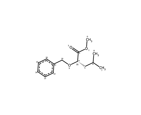 COC(=O)[C@H](CC(C)C)OCc1ccccc1